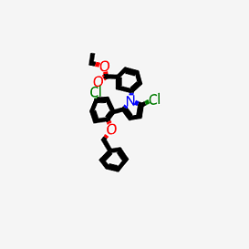 CCOC(=O)c1cccc(-n2c(Cl)ccc2-c2cc(Cl)ccc2OCc2ccccc2)c1